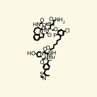 Cc1ncsc1-c1ccc([C@H](C)NC(=O)[C@@H]2C[C@@H](O)CN2C(=O)[C@@H](NC(=O)CCCCCc2cc(Cl)cc(OC[C@H](CCC(N)=O)NC(=O)[C@@H]3Cc4cccc5c4N3C(=O)[C@@H](NC(=O)OC(C)(C)C)CC5)c2F)C(C)(C)C)cc1